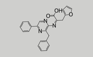 O=C(O)C(Cc1ccco1)=Nc1ncc(-c2ccccc2)nc1Cc1ccccc1